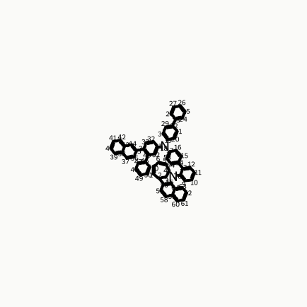 C1=CC2CC(C=C1)N(c1ccccc1-c1ccc(N(c3ccc(-c4ccccc4)cc3)c3ccc(-c4ccc5ccccc5c4)c(-c4ccccc4)c3)cc1)c1c2ccc2ccccc12